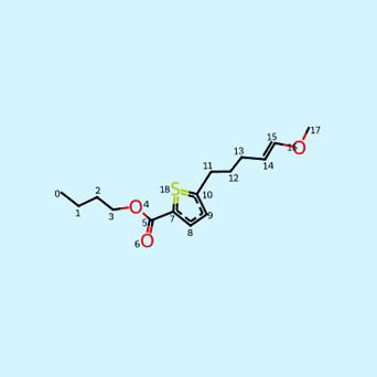 CCCCOC(=O)c1ccc(CCCC=COC)s1